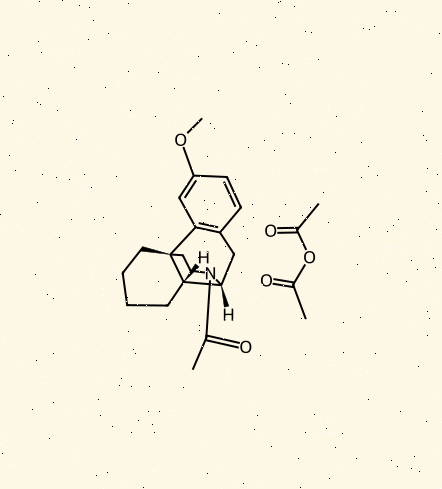 CC(=O)OC(C)=O.COc1ccc2c(c1)[C@@]13CCCC[C@H]1[C@@H](C2)N(C(C)=O)CC3